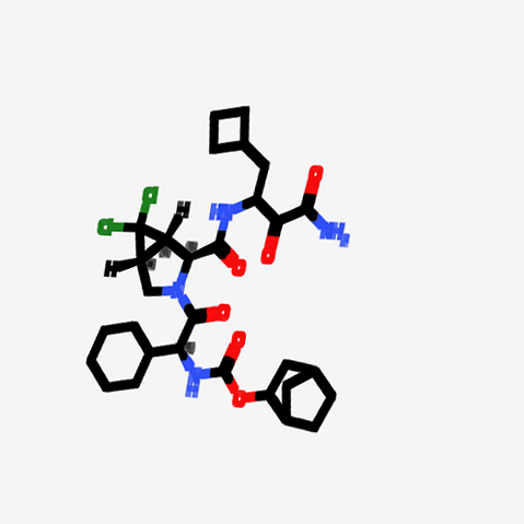 NC(=O)C(=O)C(CC1CCC1)NC(=O)[C@@H]1[C@@H]2[C@H](CN1C(=O)[C@@H](NC(=O)OC1CC3CCC1C3)C1CCCCC1)C2(Cl)Cl